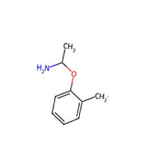 [CH2]c1ccccc1OC(C)N